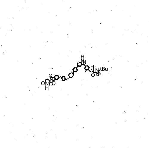 Cc1cc(-c2n[nH]c3ccc(-c4ccc(N5CCC(CN6CCN(c7ccc8c(c7)C(=O)N(C7CCC(=O)NC7=O)C8=O)CC6)CC5)cc4)cc23)ccc1CNC(=O)c1nc(C(C)(C)C)no1